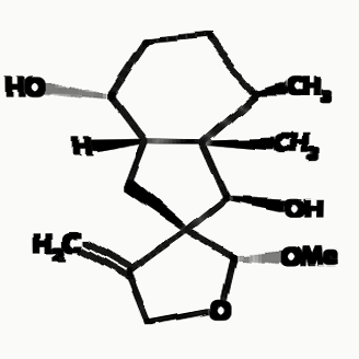 C=C1CO[C@@H](OC)[C@]12C[C@@H]1[C@H](O)CC[C@@H](C)[C@]1(C)[C@H]2O